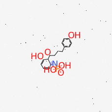 O=C(CCCc1ccc(O)cc1)C1C(O)=CC=C/C1=N\P(=O)(O)O